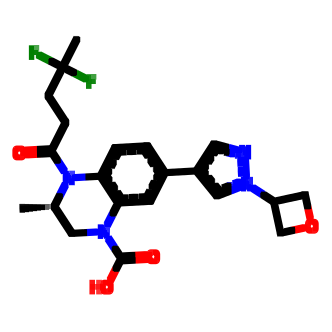 C[C@H]1CN(C(=O)O)c2cc(-c3cnn(C4COC4)c3)ccc2N1C(=O)CCC(C)(F)F